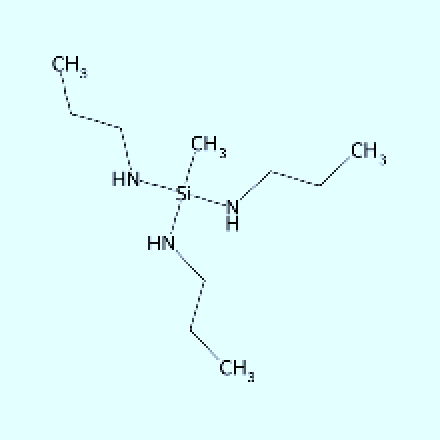 CCCN[Si](C)(NCCC)NCCC